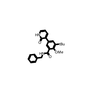 COc1c(C(=O)NCc2ccccc2)cc(-c2ccc[nH]c2=O)cc1C(C)(C)C